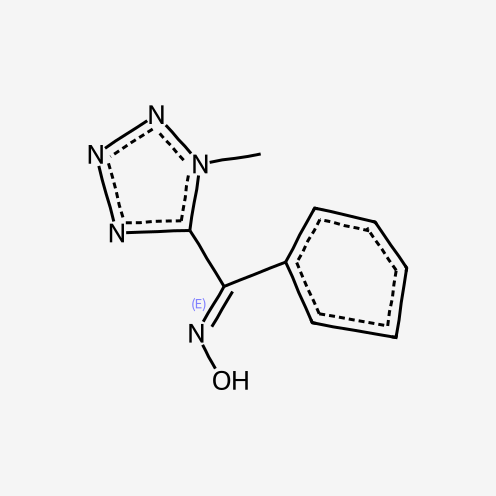 Cn1nnnc1/C(=N/O)c1ccccc1